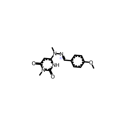 COc1ccc(/C=N/N(C)c2cc(=O)n(C)c(=O)[nH]2)cc1